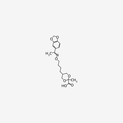 CC(=NOCCCCC1COC(C)(C(=O)O)OC1)c1ccc2c(c1)OCO2